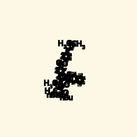 CCCCN(CCCC)C(=O)c1cc(-c2cc3c(cc2C(=O)N2Cc4ccccc4C[C@H]2C)CN(C(=O)Oc2ccc(CCN(C)C)cc2)CC3)n(C)c1C